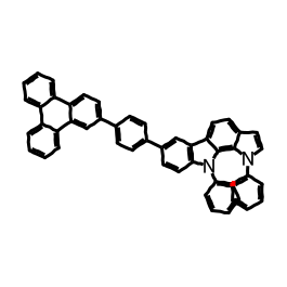 c1ccc(-n2ccc3ccc4c5cc(-c6ccc(-c7ccc8c9ccccc9c9ccccc9c8c7)cc6)ccc5n(-c5ccccc5)c4c32)cc1